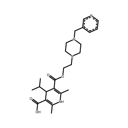 CC1=C(C(=O)O)C(C(C)C)C(C(=O)OCCN2CCN(Cc3cccnc3)CC2)=C(C)N1